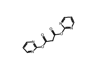 O=C(CC(=O)Oc1ncccn1)Oc1ncccn1